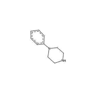 [CH]1CNCCN1c1ccccc1